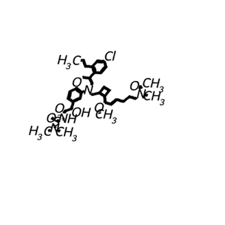 CCCc1cc(Cl)ccc1C1COc2ccc(C(O)C(=O)N[S+]([O-])N(C)C)cc2N(CC2CCC2C(/C=C/CCCN(C)C(C)=O)OC)C1